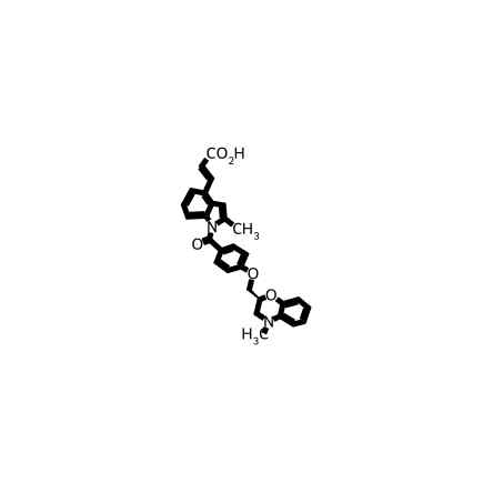 Cc1cc2c(/C=C/C(=O)O)cccc2n1C(=O)c1ccc(OC[C@@H]2CN(C)c3ccccc3O2)cc1